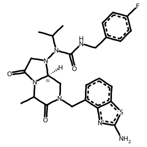 CC1C(=O)N(Cc2cccc3sc(N)nc23)C[C@H]2N1C(=O)CN2N(C(=O)NCc1ccc(F)cc1)C(C)C